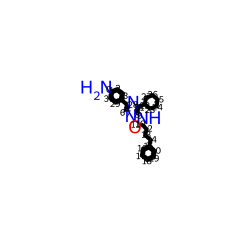 Nc1ccc(-c2cnc(NC(=O)CCCc3ccccc3)c(C3CCCCC3)n2)cc1